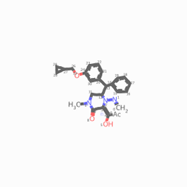 C=NN1/C(=C(/O)C(C)=O)C(=O)N(C)CC1C(c1ccccc1)c1cccc(OCC2CC2)c1